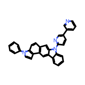 c1ccc(-n2ccc3c4cc5c6ccccc6n(-c6ccc(-c7cccnc7)cn6)c5cc4ccc32)cc1